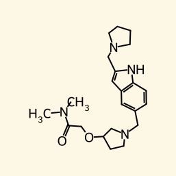 CN(C)C(=O)COC1CCN(Cc2ccc3[nH]c(CN4CCCC4)cc3c2)C1